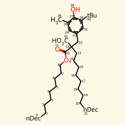 CCCCCCCCCCCCCCCCCCOC(=O)C(CCCCCCCCCCCCCCCCCC)(Cc1cc(C)c(O)c(C(C)(C)C)c1)C(=O)O